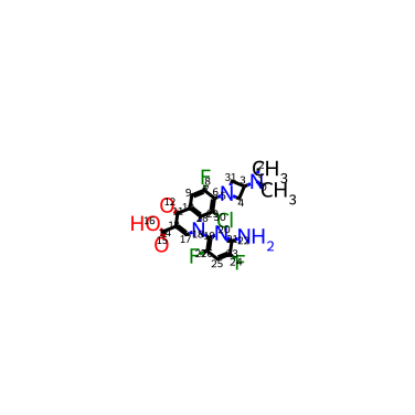 CN(C)C1CN(c2c(F)cc3c(=O)c(C(=O)O)cn(-c4nc(N)c(F)cc4F)c3c2Cl)C1